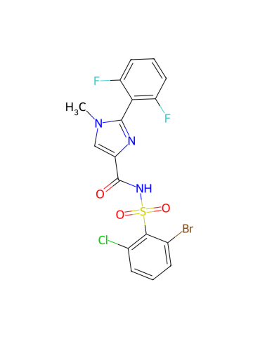 Cn1cc(C(=O)NS(=O)(=O)c2c(Cl)cccc2Br)nc1-c1c(F)cccc1F